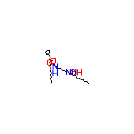 CCCCCCCCCC(O)CNCCCCCCNCC(CCCCCCCCC)OC(=O)CCc1ccccc1